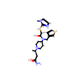 CC(CC(N)=O)N1CCC(N(Cc2ccsc2)C(=O)CSc2nccn2C)CC1